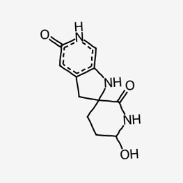 O=C1NC(O)CCC12Cc1cc(=O)[nH]cc1N2